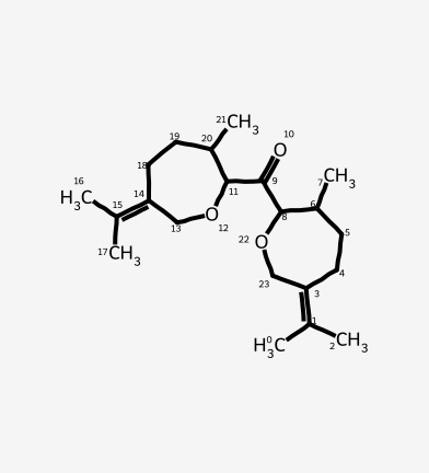 CC(C)=C1CCC(C)C(C(=O)C2OCC(=C(C)C)CCC2C)OC1